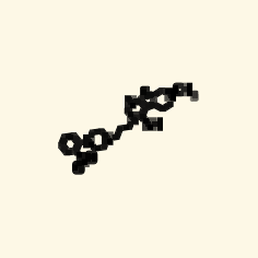 CN1CCc2c(sc3ncn(CCCN4CCN(c5ccccc5[N+](=O)[O-])CC4)c(=N)c23)C1